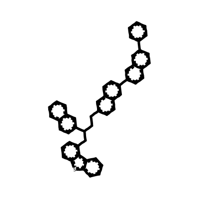 c1ccc(-c2ccc3ccc(-c4ccc5cc(CCC(Cc6cccc7sc8ccccc8c67)c6ccc7ccccc7c6)ccc5c4)cc3c2)cc1